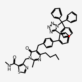 CCCCc1nc(C)n(Cc2ncsc2C(=O)NC)c(=O)c1Cc1ccc(-c2ccccc2-c2nnnn2C(c2ccccc2)(c2ccccc2)c2ccccc2)cc1